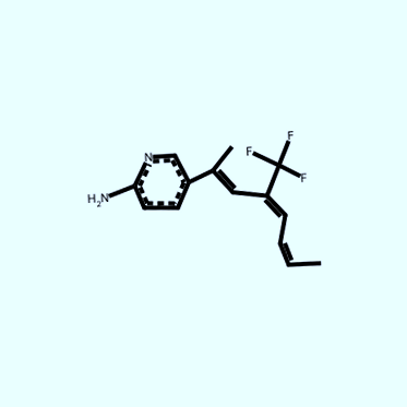 C\C=C/C=C(\C=C(/C)c1ccc(N)nc1)C(F)(F)F